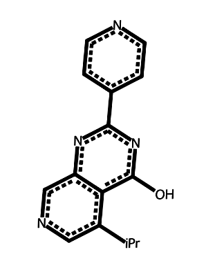 CC(C)c1cncc2nc(-c3ccncc3)nc(O)c12